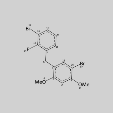 COc1cc(OC)c(Cc2cccc(Br)c2F)cc1Br